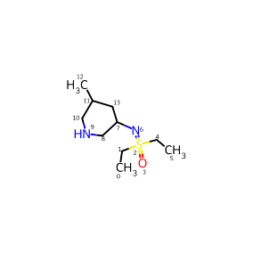 CCS(=O)(CC)=NC1CNCC(C)C1